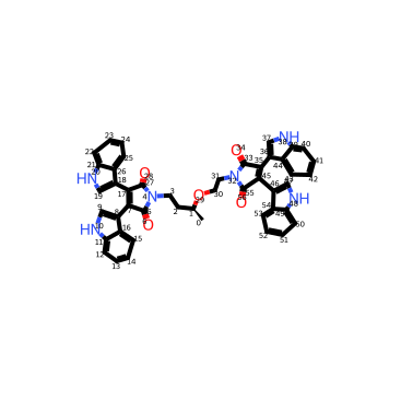 C[C@@H](CCN1C(=O)C(c2c[nH]c3ccccc23)=C(c2c[nH]c3ccccc23)C1=O)OCCN1C(=O)C(c2c[nH]c3ccccc23)=C(c2c[nH]c3ccccc23)C1=O